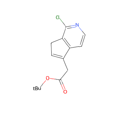 CC(C)(C)OC(=O)CC1=CCc2c1ccnc2Cl